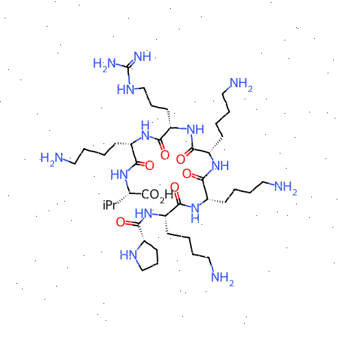 CC(C)[C@H](NC(=O)[C@H](CCCCN)NC(=O)[C@H](CCCNC(=N)N)NC(=O)[C@H](CCCCN)NC(=O)[C@H](CCCCN)NC(=O)[C@H](CCCCN)NC(=O)[C@@H]1CCCN1)C(=O)O